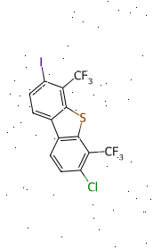 FC(F)(F)c1c(Cl)ccc2c1sc1c(C(F)(F)F)c(I)ccc12